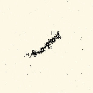 C=COC(=O)COc1ccc(SC(=O)c2ccc(C#Cc3ccc(OCCOC(=O)C(=C)F)cc3)c(CC)c2)cc1